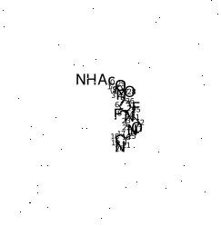 CC(=O)NC[C@H]1CN(c2cc(F)c(N3CCON(Cc4cccnc4)CC3)c(F)c2)C(=O)O1